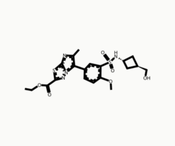 CCOC(=O)c1nn2c(-c3ccc(OC)c(S(=O)(=O)N[C@H]4C[C@H](CO)C4)c3)c(C)nc2s1